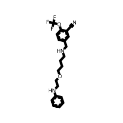 N#Cc1cc(CNCCCCOCCNc2ccccc2)ccc1OC(F)(F)F